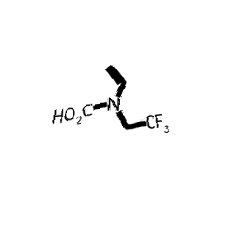 C=CN(CC(F)(F)F)C(=O)O